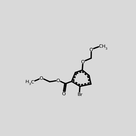 COCOC(=O)c1cc(OCOC)ccc1Br